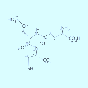 N[C@@H](CCC(=O)N[C@@H](COS(=O)(=O)O)C(=O)N[C@@H](CS)C(=O)O)C(=O)O